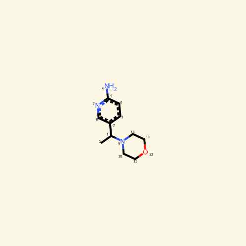 CC(c1ccc(N)nc1)N1CCOCC1